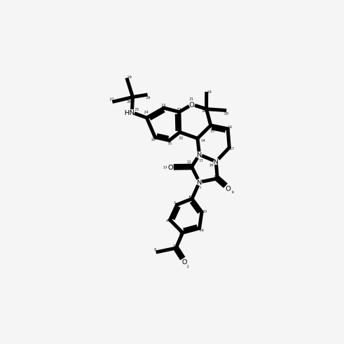 CC(=O)c1ccc(-n2c(=O)n3n(c2=O)C2C(=CC3)C(C)(C)Oc3cc(NC(C)(C)C)ccc32)cc1